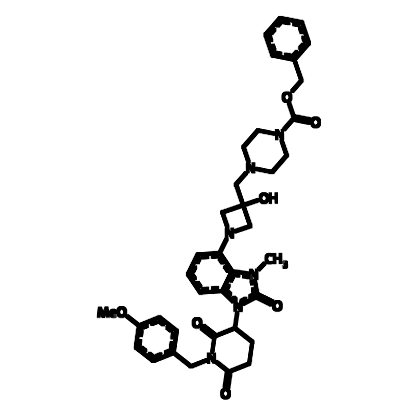 COc1ccc(CN2C(=O)CCC(n3c(=O)n(C)c4c(N5CC(O)(CN6CCN(C(=O)OCc7ccccc7)CC6)C5)cccc43)C2=O)cc1